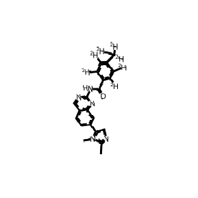 [2H]c1c([2H])c(C([2H])([2H])[2H])c([2H])c([2H])c1C(=O)Nc1ncc2ccc(-c3cnc(C)n3C)cc2n1